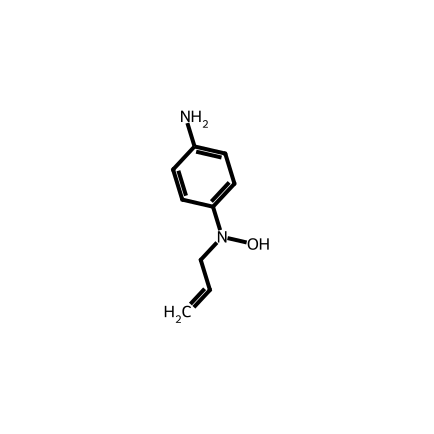 C=CCN(O)c1ccc(N)cc1